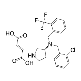 FC(F)(F)c1ccccc1CN(Cc1ccccc1Cl)[C@H]1CCNC1.O=C(O)C=CC(=O)O